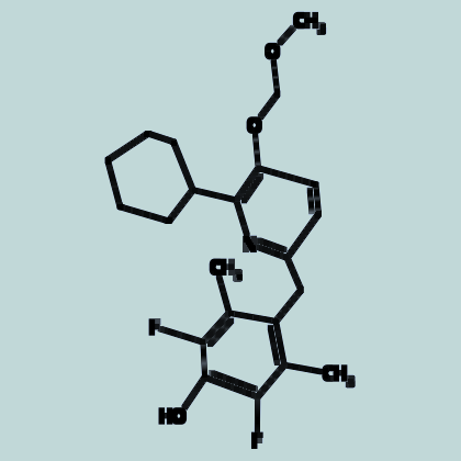 COCOc1ccc(Cc2c(C)c(F)c(O)c(F)c2C)nc1C1CCCCC1